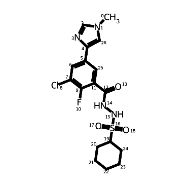 Cn1cnc(-c2cc(Cl)c(F)c(C(=O)NNS(=O)(=O)C3CCCCC3)c2)c1